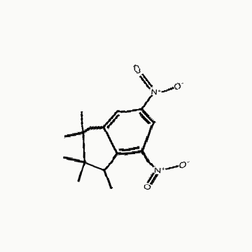 CC1c2c([N+](=O)[O-])cc([N+](=O)[O-])cc2C(C)(C)C1(C)C